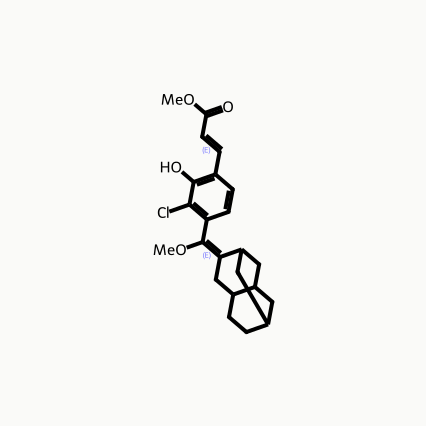 COC(=O)/C=C/c1ccc(/C(OC)=C2/CC3CCC4CC2CC3C4)c(Cl)c1O